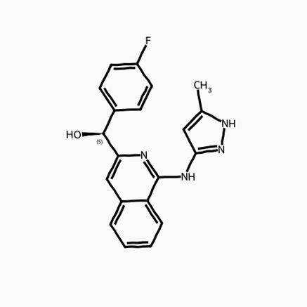 Cc1cc(Nc2nc([C@@H](O)c3ccc(F)cc3)cc3ccccc23)n[nH]1